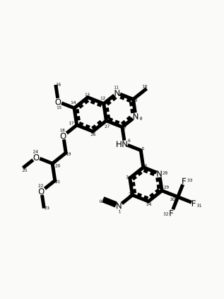 C=Nc1cc(CNc2nc(C)nc3cc(OC)c(OCC(COC)OC)cc23)nc(C(F)(F)F)c1